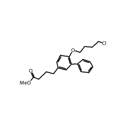 COC(=O)CCCc1ccc(OCCCCCl)c(-c2ccccc2)c1